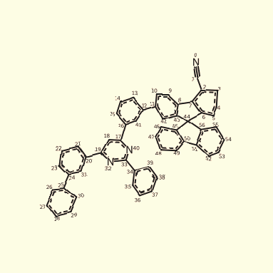 N#Cc1cccc2c1-c1ccc(-c3cccc(-c4cc(-c5cccc(-c6ccccc6)c5)nc(-c5ccccc5)n4)c3)cc1C21c2ccccc2-c2ccccc21